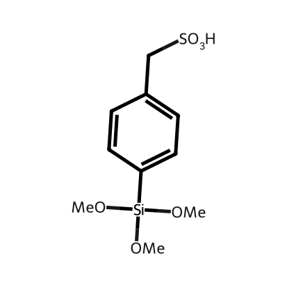 CO[Si](OC)(OC)c1ccc(CS(=O)(=O)O)cc1